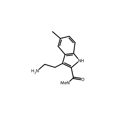 CNC(=O)c1[nH]c2ccc(C)cc2c1CCN